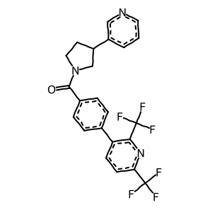 O=C(c1ccc(-c2ccc(C(F)(F)F)nc2C(F)(F)F)cc1)N1CCC(c2cccnc2)C1